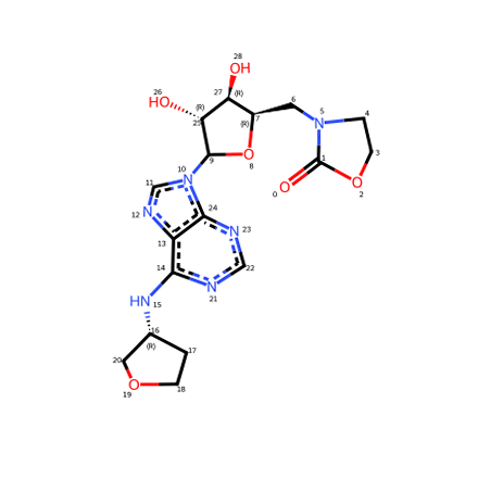 O=C1OCCN1C[C@H]1OC(n2cnc3c(N[C@@H]4CCOC4)ncnc32)[C@H](O)[C@H]1O